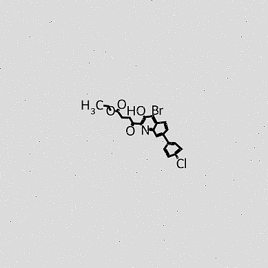 CCOC(=O)CCC(=O)c1nc2cc(-c3ccc(Cl)cc3)ccc2c(Br)c1O